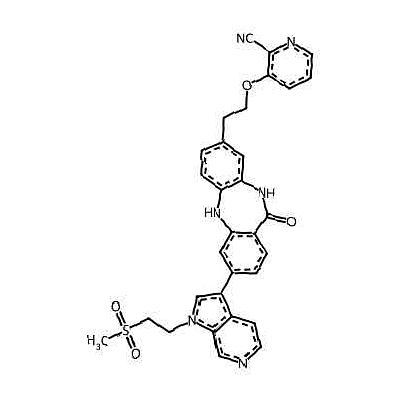 CS(=O)(=O)CCn1cc(-c2ccc3c(c2)Nc2ccc(CCOc4cccnc4C#N)cc2NC3=O)c2ccncc21